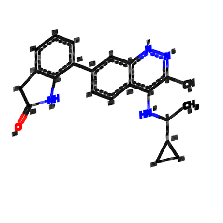 CC(Nc1c(C#N)nnc2cc(-c3cccc4c3NC(=O)C4)ccc12)C1CC1